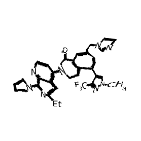 CCc1cc2c(N3CCc4c(cc(Cn5ccnc5)cc4-c4cn(C)nc4C(F)(F)F)C3=O)ccnc2c(-n2cccc2)n1